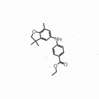 CCOC(=O)c1ccc(Nc2cc(C)c3c(c2)C(C)(C)CO3)cc1